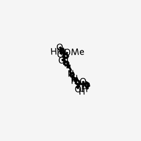 COc1ccc(C(=O)N2CCC3(CC2)CC(CCN2CCC(n4cc5cc(NC(=O)c6cccc(C)n6)c(C(C)(C)O)cc5n4)CC2)C3)cc1N1CCC(=O)NC1=O